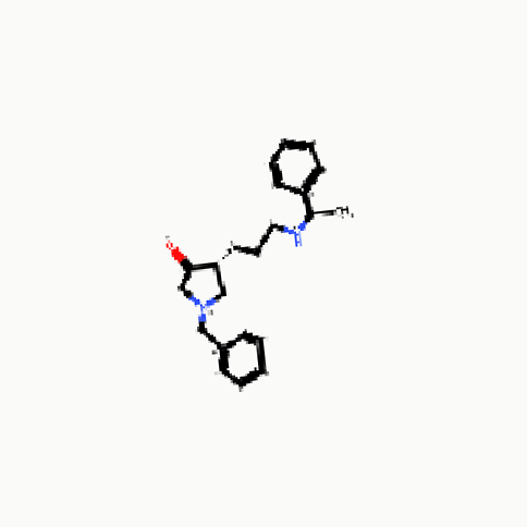 C[C@@H](NCCC[C@@H]1CN(Cc2ccccc2)CC1=O)c1ccccc1